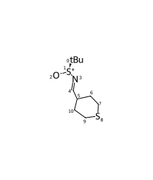 CC(C)(C)[S@+]([O-])N=CC1CCSCC1